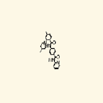 Cc1ccc(C(=O)Nc2ccc(C(=O)Nc3ccccn3)cc2)c(N2CCC(C)CC2)c1